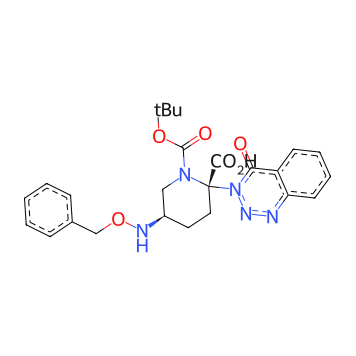 CC(C)(C)OC(=O)N1C[C@H](NOCc2ccccc2)CC[C@@]1(C(=O)O)n1nnc2ccccc2c1=O